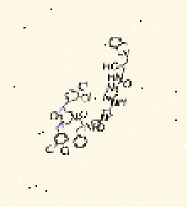 O=C1/C(=C/c2ccc(Cl)c(Cl)c2)CN(C(=O)C(Cc2ccccc2)NCC(=O)N2CC(Nc3cc(C(=O)NC[C@H](O)CN4CCc5ccccc5C4)ncn3)C2)C/C1=C\c1ccc(Cl)c(Cl)c1